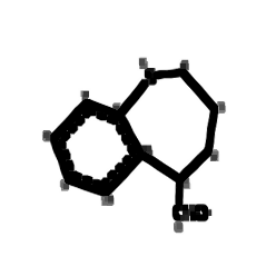 O=[C]C1CCCSc2ccccc21